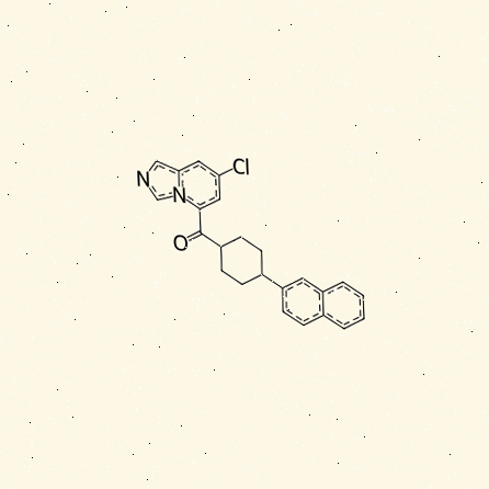 O=C(c1cc(Cl)cc2cncn12)C1CCC(c2ccc3ccccc3c2)CC1